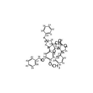 COc1ccc([C@H]2CN(Cc3ccccc3)C[C@@]2(C)C(=O)N2C(=O)OC[C@H]2c2ccccc2)cc1OCc1ccccc1